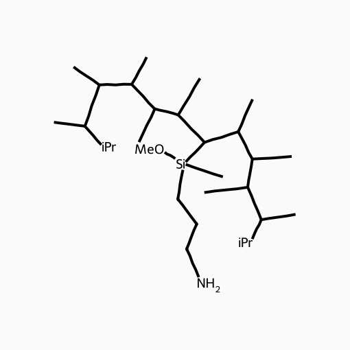 CO[Si](C)(CCCN)C(C(C)C(C)C(C)C(C)C(C)C)C(C)C(C)C(C)C(C)C(C)C(C)C